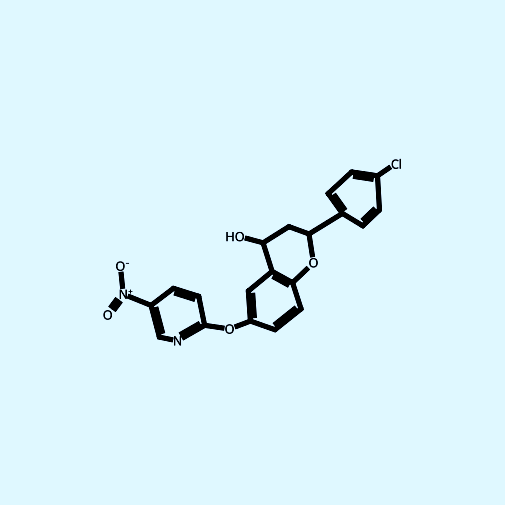 O=[N+]([O-])c1ccc(Oc2ccc3c(c2)C(O)CC(c2ccc(Cl)cc2)O3)nc1